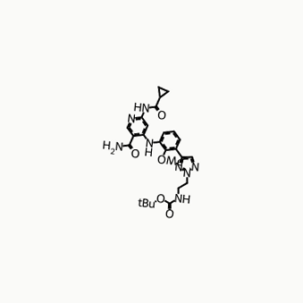 COc1c(Nc2cc(NC(=O)C3CC3)ncc2C(N)=O)cccc1-c1cnn(CCNC(=O)OC(C)(C)C)n1